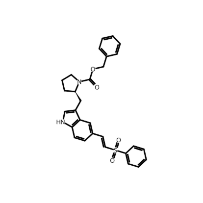 O=C(OCc1ccccc1)N1CCC[C@@H]1Cc1c[nH]c2ccc(/C=C/S(=O)(=O)c3ccccc3)cc12